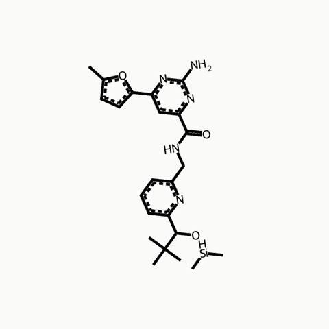 Cc1ccc(-c2cc(C(=O)NCc3cccc(C(O[SiH](C)C)C(C)(C)C)n3)nc(N)n2)o1